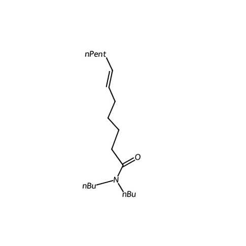 CCCCCC=CCCCCC(=O)N(CCCC)CCCC